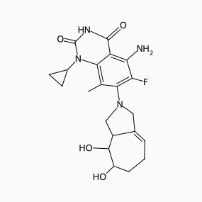 Cc1c(N2CC3=CCCC(O)C(O)C3C2)c(F)c(N)c2c(=O)[nH]c(=O)n(C3CC3)c12